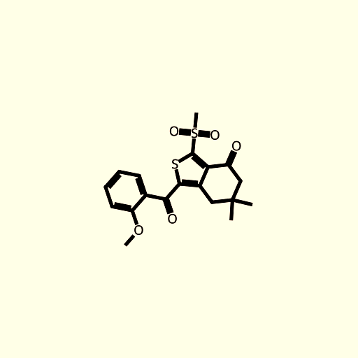 COc1ccccc1C(=O)c1sc(S(C)(=O)=O)c2c1CC(C)(C)CC2=O